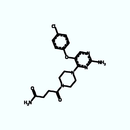 NC(=O)CCC(=O)N1CCN(c2nc(N)ncc2Oc2ccc(Cl)cc2)CC1